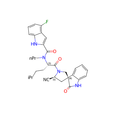 CCCN(C(=O)c1cc2c(F)cccc2[nH]1)[C@@H](CCC(C)C)C(=O)N1C[C@]2(C[C@H]1C#N)C(=O)Nc1ccccc12